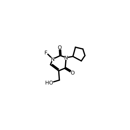 O=c1c(CO)cn(F)c(=O)n1C1CCCC1